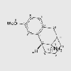 COc1ccc2c(c1)[C@H]1CCCC(C2)[C@H]1N